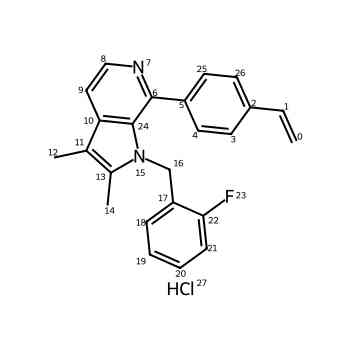 C=Cc1ccc(-c2nccc3c(C)c(C)n(Cc4ccccc4F)c23)cc1.Cl